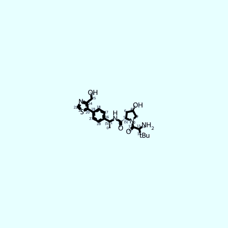 C[C@H](NC(=O)[C@@H]1C[C@@H](O)CN1C(=O)C(N)C(C)(C)C)c1ccc(-c2scnc2CO)cc1